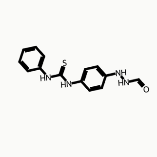 O=CNNc1ccc(NC(=S)Nc2ccccc2)cc1